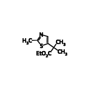 CCOC(=O)C(C)(C)c1cnc(C)s1